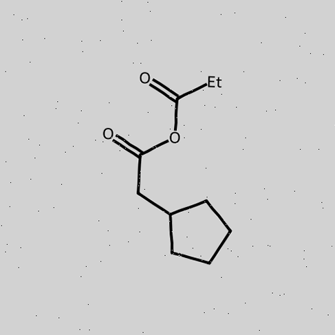 [CH2]CC(=O)OC(=O)CC1CCCC1